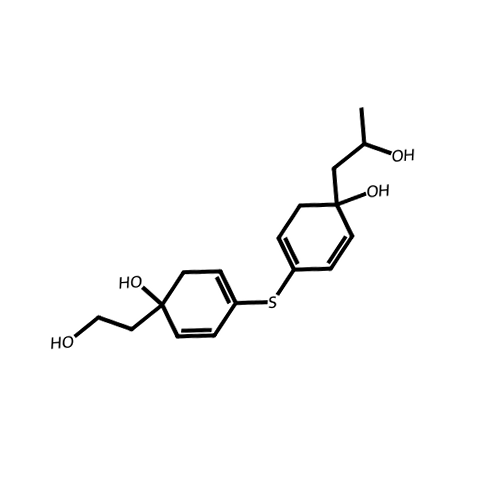 CC(O)CC1(O)C=CC(SC2=CCC(O)(CCO)C=C2)=CC1